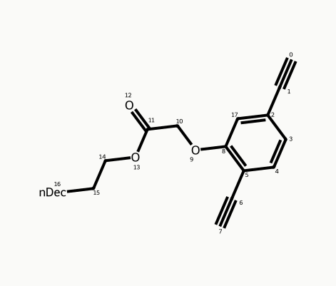 C#Cc1ccc(C#C)c(OCC(=O)OCCCCCCCCCCCC)c1